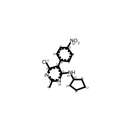 Cc1nc(Cl)c(-c2ccc([N+](=O)[O-])cc2)c(NC2CCCC2)n1